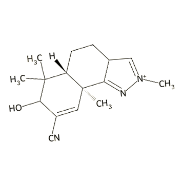 C[N+]1=CC2CC[C@H]3C(C)(C)C(O)C(C#N)=C[C@]3(C)C2=N1